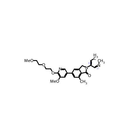 C/C=C(\C=N/C)N1Cc2cc(-c3cnc(OCCOCCOC)c(OC)c3)cc(C)c2C1=O